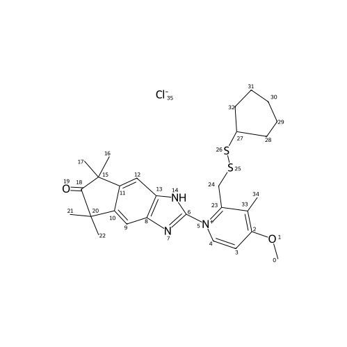 COc1cc[n+](-c2nc3cc4c(cc3[nH]2)C(C)(C)C(=O)C4(C)C)c(CSSC2CCCCC2)c1C.[Cl-]